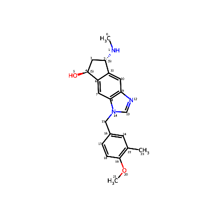 CN[C@H]1C[C@H](O)c2cc3c(cc21)ncn3Cc1ccc(OC)c(C)c1